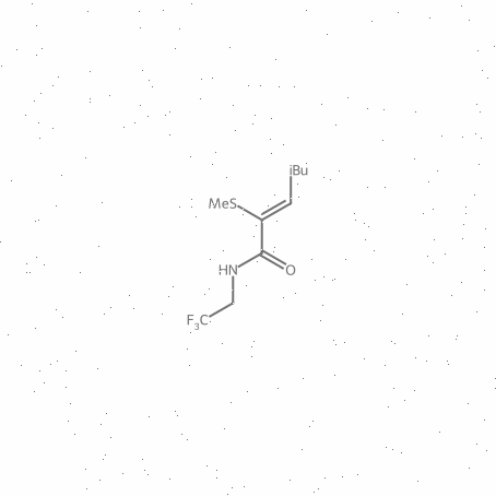 CCC(C)/C=C(\SC)C(=O)NCC(F)(F)F